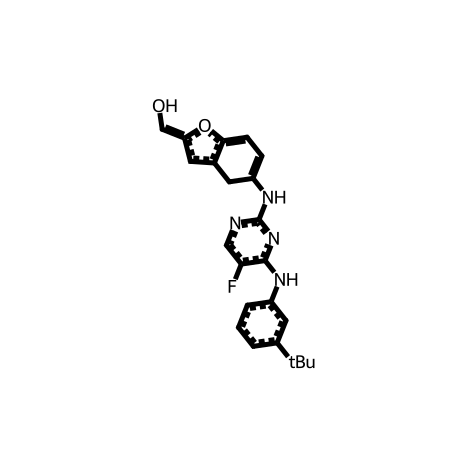 CC(C)(C)c1cccc(Nc2nc(NC3=CC=c4oc(=CO)cc4C3)ncc2F)c1